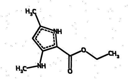 CCOC(=O)c1[nH]c(C)cc1NC